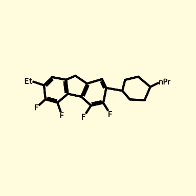 CCCC1CCC(c2cc3c(c(F)c2F)-c2c(cc(CC)c(F)c2F)C3)CC1